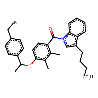 Cc1c(OC(C)c2ccc(CC(C)C)cc2)ccc(C(=O)n2cc(CCCC(=O)O)c3ccccc32)c1C